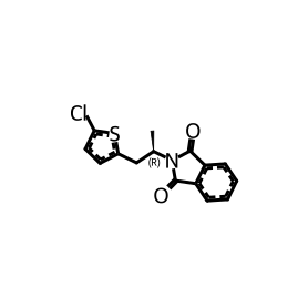 C[C@H](Cc1ccc(Cl)s1)N1C(=O)c2ccccc2C1=O